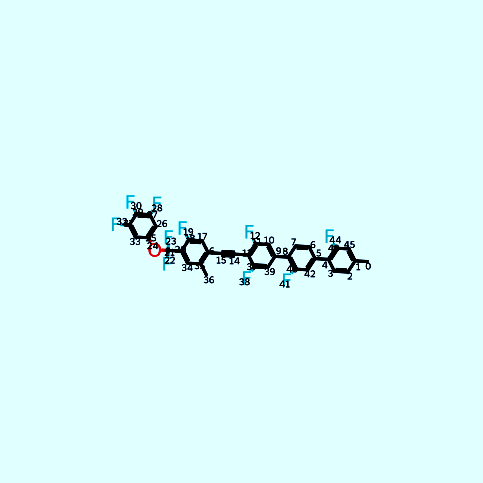 Cc1ccc(-c2ccc(-c3cc(F)c(C#Cc4cc(F)c(C(F)(F)Oc5cc(F)c(F)c(F)c5)cc4C)c(F)c3)c(F)c2)c(F)c1